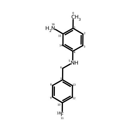 Cc1ccc(NCc2ccc([18F])cc2)cc1N